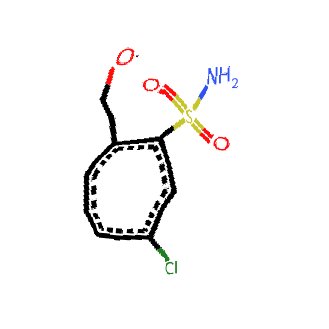 NS(=O)(=O)c1cc(Cl)ccc1C[O]